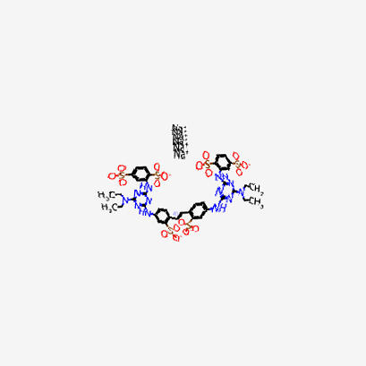 CCN(CC)c1nc(Nc2ccc(/C=C/c3ccc(Nc4nc(Nc5cc(S(=O)(=O)[O-])ccc5S(=O)(=O)[O-])nc(N(CC)CC)n4)cc3S(=O)(=O)[O-])c(S(=O)(=O)[O-])c2)nc(Nc2cc(S(=O)(=O)[O-])ccc2S(=O)(=O)[O-])n1.[Na+].[Na+].[Na+].[Na+].[Na+].[Na+]